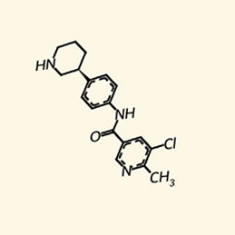 Cc1ncc(C(=O)Nc2ccc([C@@H]3CCCNC3)cc2)cc1Cl